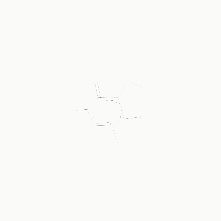 COc1c(F)n(C)cc(C)c1=O